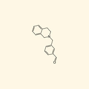 O=Cc1cccc(CN2CCc3ccccc3C2)c1